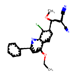 CCOc1cc(-c2ccccc2)nc2c(F)c(C(OC)=C(C#N)C#N)ccc12